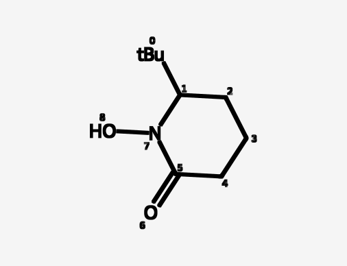 CC(C)(C)C1CCCC(=O)N1O